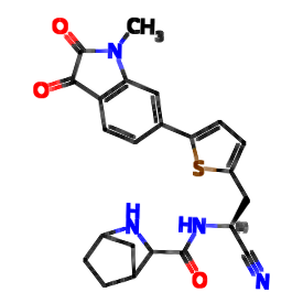 CN1C(=O)C(=O)c2ccc(-c3ccc(C[C@@H](C#N)NC(=O)C4NC5CCC4C5)s3)cc21